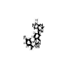 CC(Nc1ncc2cc(-c3ncnc4[nH]ncc34)ccc2n1)c1ccc(F)cc1